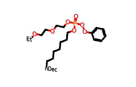 CCCCCCCCCCCCCCCCCOP(=O)(OCCOCCOCC)OOc1ccccc1